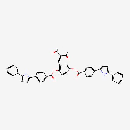 CC(=O)C(=Cc1cc(OC(=O)c2ccc(-c3ccc(-c4ccccc4)[nH]3)cc2)ccc1OC(=O)c1ccc(-c2ccc(-c3ccccc3)[nH]2)cc1)C(C)=O